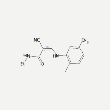 CCNC(=O)/C(C#N)=C\Nc1cc(C(F)(F)F)ccc1C